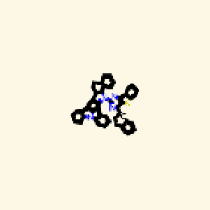 c1ccc2cc(-c3nc(-n4c5c6ccccc6ccc5c5cc6c7ccccc7n7c8ccccc8c(c54)c67)nc4c3sc3ccccc34)ccc2c1